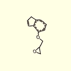 C1=Cc2c(cccc2OCC2CO2)C1